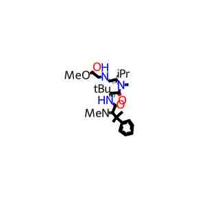 CNC(C(=O)N[C@H](C(=O)N(C)[C@H](CNCC(=O)OC)C(C)C)C(C)(C)C)C(C)(C)c1ccccc1